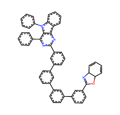 C1=CC2N=C(c3cccc(-c4cccc(-c5cccc(-c6cccc(-c7nc(-c8ccccc8)c8c(n7)c7ccccc7n8-c7ccccc7)c6)c5)c4)c3)OC2C=C1